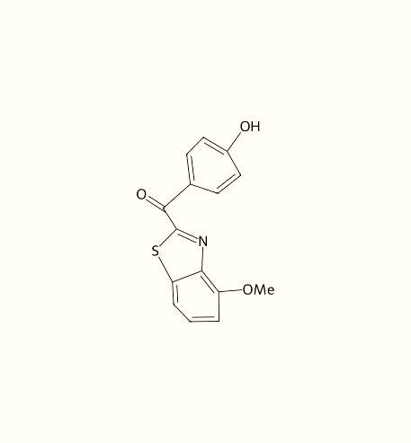 COc1cccc2sc(C(=O)c3ccc(O)cc3)nc12